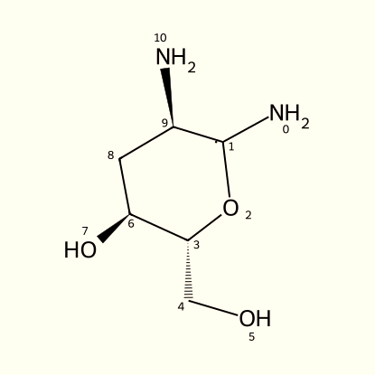 N[C]1O[C@H](CO)[C@@H](O)C[C@H]1N